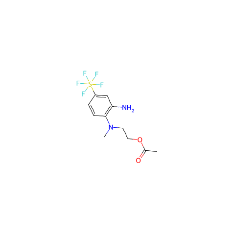 CC(=O)OCCN(C)c1ccc(S(F)(F)(F)(F)F)cc1N